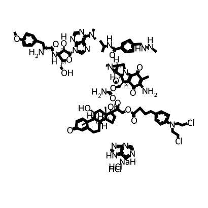 CNNCc1ccc(C(=O)NC(C)C)cc1.CO[C@@]12[C@H](COC(N)=O)C3=C(C(=O)C(C)=C(N)C3=O)N1C[C@H]1[C@@H]2N1C.COc1ccc(C[C@H](N)C(=O)N[C@H]2[C@@H](O)[C@H](n3cnc4c(N(C)C)ncnc43)O[C@@H]2CO)cc1.C[C@]12C=CC(=O)C=C1CC[C@@H]1[C@@H]2[C@@H](O)C[C@@]2(C)[C@H]1CC[C@]2(O)C(=O)COC(=O)CCCc1ccc(N(CCCl)CCCl)cc1.Cl.Cl.[NaH].c1ncc2[nH]cnc2n1